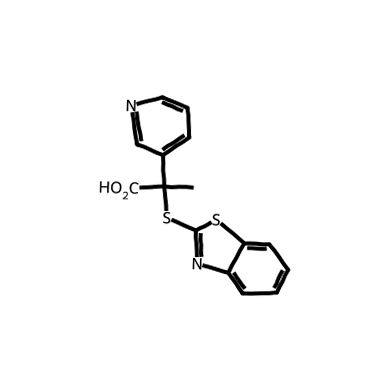 CC(Sc1nc2ccccc2s1)(C(=O)O)c1cccnc1